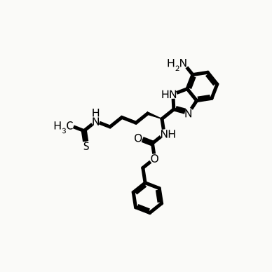 CC(=S)NCCCC[C@H](NC(=O)OCc1ccccc1)c1nc2cccc(N)c2[nH]1